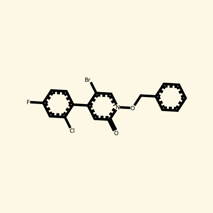 O=c1cc(-c2ccc(F)cc2Cl)c(Br)cn1OCc1ccccc1